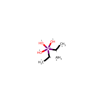 CCP(O)(O)(O)CC.[AlH3]